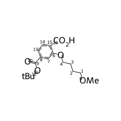 COCCCCOc1cc(C(=O)OC(C)(C)C)ccc1C(=O)O